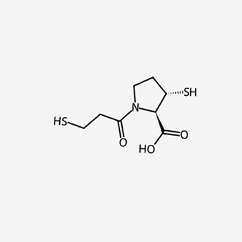 O=C(O)[C@@H]1[C@@H](S)CCN1C(=O)CCS